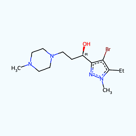 CCc1c(Br)c([C@H](O)CCN2CCN(C)CC2)nn1C